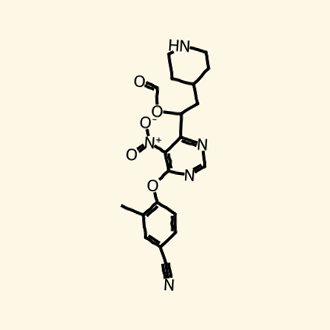 Cc1cc(C#N)ccc1Oc1ncnc(C(CC2CCNCC2)OC=O)c1[N+](=O)[O-]